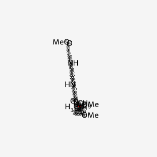 COC(=O)CCCCCCCCCCCNCCCCCCCCCCCCNCCCCCCCCCC(=O)N1C[C@](C)(COC(c2ccccc2)(c2ccc(OC)cc2)c2ccc(OC)cc2)[C@](C)(CO)C1